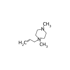 C=CC[N+]1(C)CCN(C)CC1